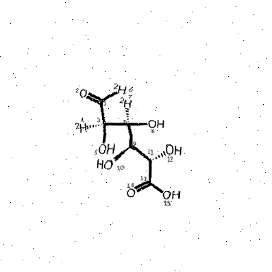 [2H]C(=O)[C@]([2H])(O)[C@@]([2H])(O)[C@H](O)[C@H](O)C(=O)O